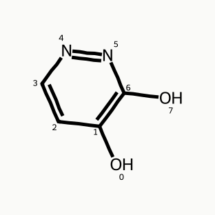 Oc1ccnnc1O